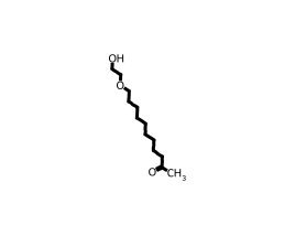 CC(=O)CCCCCCCCCOCCO